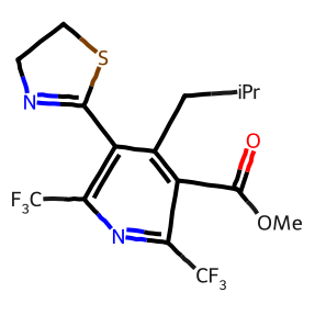 COC(=O)c1c(C(F)(F)F)nc(C(F)(F)F)c(C2=NCCS2)c1CC(C)C